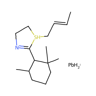 CC=CC[SH]1CCN=C1C1C(C)CCCC1(C)C.[PbH2]